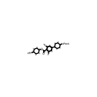 CCCCCC1CCC(c2cc(F)c(C(=O)OC3CCC(CCC)CC3)c(F)c2)CC1